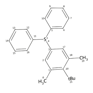 Cc1cc([S+](c2ccccc2)c2ccccc2)cc(C)c1C(C)(C)C